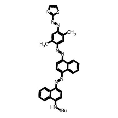 CCC(C)Nc1ccc(/N=N/c2ccc(/N=N/c3cc(C)c(/N=N/c4nccs4)cc3C)c3ccccc23)c2ccccc12